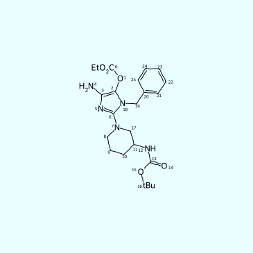 CCOC(=O)Oc1c(N)nc(N2CCCC(NC(=O)OC(C)(C)C)C2)n1Cc1ccccc1